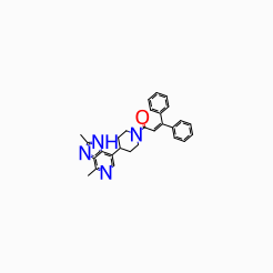 Cc1nc2c(C)ncc(C3CCN(C(=O)C=C(c4ccccc4)c4ccccc4)CC3)c2[nH]1